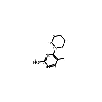 Cc1cnc(O)nc1N1CCCCC1